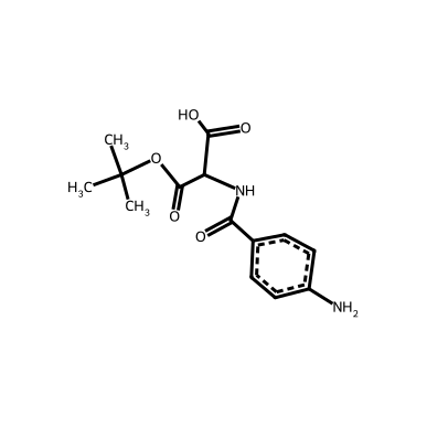 CC(C)(C)OC(=O)C(NC(=O)c1ccc(N)cc1)C(=O)O